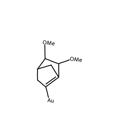 COC1C2=[C]([Au])CC(C2)C1OC